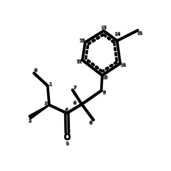 CC[C@H](C)C(=O)C(C)(C)Cc1cccc(C)c1